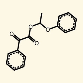 CC(OC(=O)C(=O)c1ccccc1)Oc1ccccc1